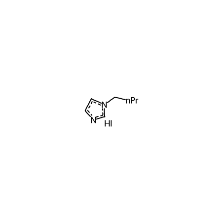 CCCCn1ccnc1.I